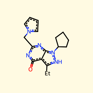 CCc1[nH]n(C2CCCC2)c2nc(Cn3cccc3)nc(=O)c1-2